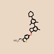 Cc1cc(-c2c(C)cc(C3CCCCC3)cc2C)c2c(c1)C(Oc1ccc3c(c1)SC[C@H]3CC(=O)O)CC2